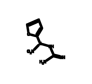 N=C(N)NN(c1ccco1)[N+](=O)[O-]